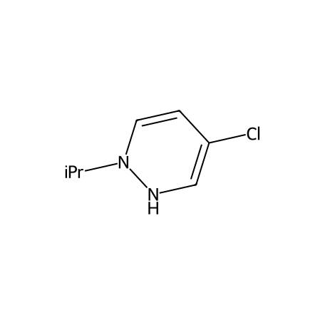 CC(C)N1C=CC(Cl)=CN1